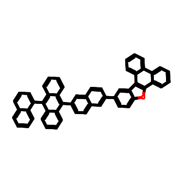 c1ccc2c(-c3c4ccccc4c(-c4ccc5cc(-c6ccc7oc8c9ccccc9c9ccccc9c8c7c6)ccc5c4)c4ccccc34)cccc2c1